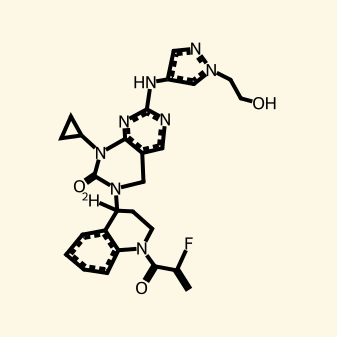 [2H]C1(N2Cc3cnc(Nc4cnn(CCO)c4)nc3N(C3CC3)C2=O)CCN(C(=O)C(=C)F)c2ccccc21